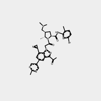 CC(=O)c1nn(CC(=O)N2[C@H](C)[C@@H](CN(C)C)C[C@H]2C(=O)Nc2nc(Br)ccc2C)c2c(C3=NC3)cc(-c3cnc(C)nc3)cc12